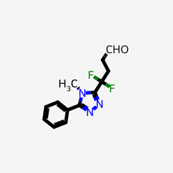 Cn1c(-c2ccccc2)nnc1C(F)(F)CCC=O